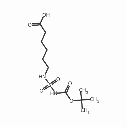 CC(C)(C)OC(=O)NS(=O)(=O)NCCCCCC(=O)O